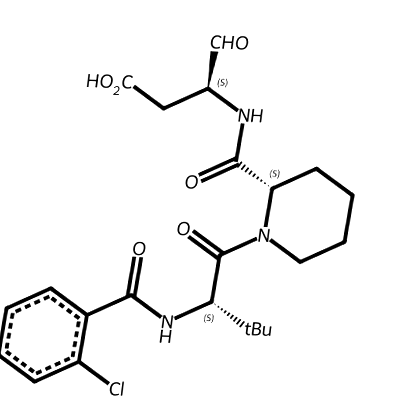 CC(C)(C)[C@H](NC(=O)c1ccccc1Cl)C(=O)N1CCCC[C@H]1C(=O)N[C@H](C=O)CC(=O)O